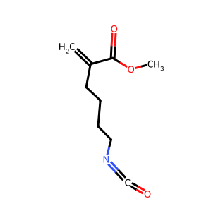 C=C(CCCCN=C=O)C(=O)OC